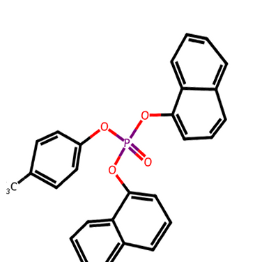 O=P(Oc1ccc(C(F)(F)F)cc1)(Oc1cccc2ccccc12)Oc1cccc2ccccc12